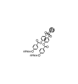 CCCCCCOc1ccc(C(=O)Oc2ccc(OC(=O)[C]34[CH]5[CH]6[CH]7[CH]3[Fe]6754389%10[CH]4[CH]3[CH]8[C]9(C(=O)Oc3ccc(OC(=O)c5ccc(OCCCCCC)cc5)cc3)[CH]4%10)cc2)cc1